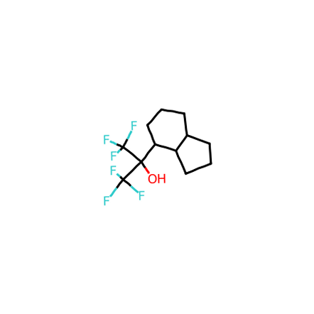 OC(C1CCCC2CCCC21)(C(F)(F)F)C(F)(F)F